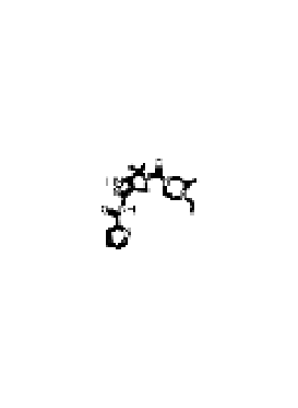 CCN1CCN(C(=O)N2Cc3c(NC(=O)c4ccccn4)n[nH]c3C2(C)C)CC1C